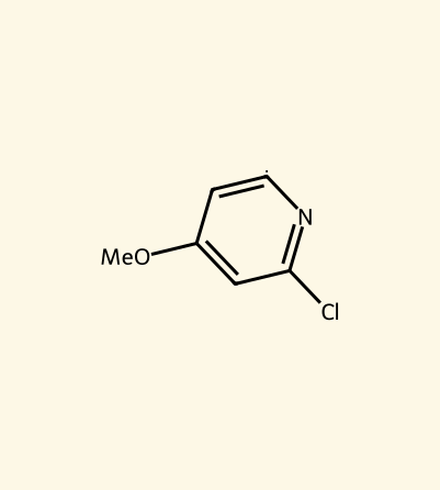 COc1c[c]nc(Cl)c1